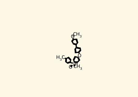 COc1ccc(-c2ccc(Oc3ccc([SH](C)(=O)c4ccc(C)cc4)cc3)cc2)cc1